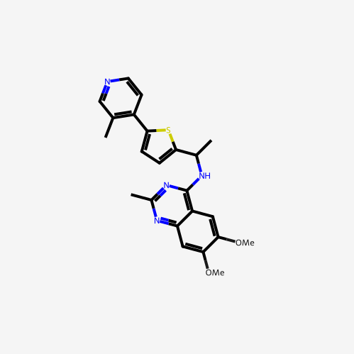 COc1cc2nc(C)nc(NC(C)c3ccc(-c4ccncc4C)s3)c2cc1OC